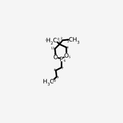 [CH2]C1(CC)COP(CCCC)OC1